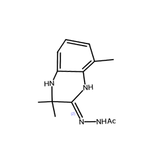 CC(=O)N/N=C1\Nc2c(C)cccc2NC1(C)C